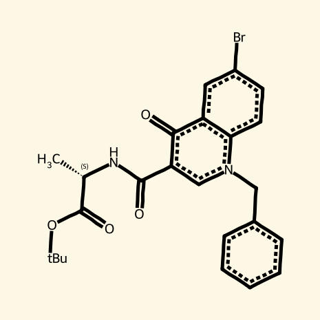 C[C@H](NC(=O)c1cn(Cc2ccccc2)c2ccc(Br)cc2c1=O)C(=O)OC(C)(C)C